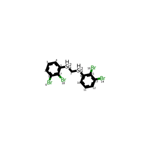 Brc1cccc([SiH2]C[SiH2]c2cccc(Br)c2Br)c1Br